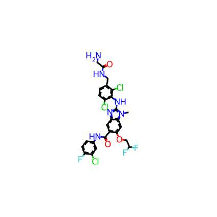 Cn1c(Nc2c(Cl)ccc(CNC(=O)CN)c2Cl)nc2cc(C(=O)Nc3ccc(F)c(Cl)c3)c(OCC(F)F)cc21